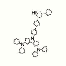 c1ccc(C2CNCC(c3ccc(-c4ccc(-n5c6ccc(N(c7ccccc7)c7ccccc7)cc6c6cc(N(c7ccccc7)c7ccccc7)ccc65)cc4)cc3)C2)cc1